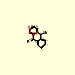 BrC12c3ccccc3C(Br)(c3ccccc31)c1ccccc12